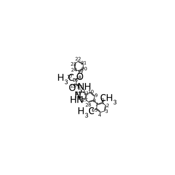 Cc1cccc(C)c1-c1ccc2c(NC(=O)C(C)Oc3ccccc3)n[nH]c2c1